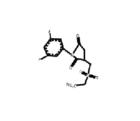 CCOC(=O)CS(=O)(=O)CC1CC(=O)N(c2cc(F)cc(F)c2)C1=O